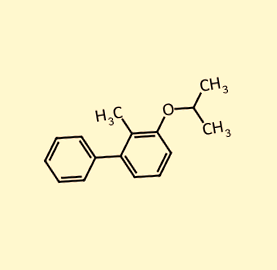 Cc1c(OC(C)C)cccc1-c1ccccc1